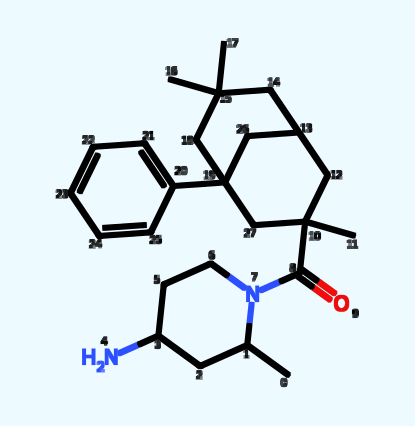 CC1CC(N)CCN1C(=O)C1(C)CC2CC(C)(C)CC(c3ccccc3)(C2)C1